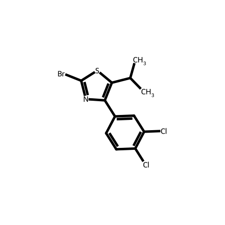 CC(C)c1sc(Br)nc1-c1ccc(Cl)c(Cl)c1